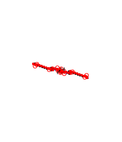 C=CC(=O)OCCCCCCCCCCOc1ccc(/C=C/C(=O)O[C@H]2CO[C@H]3[C@@H]2OC[C@H]3OC(=O)/C=C/c2ccc(OCCCCCCCCCCOC(=O)C=C)cc2)cc1